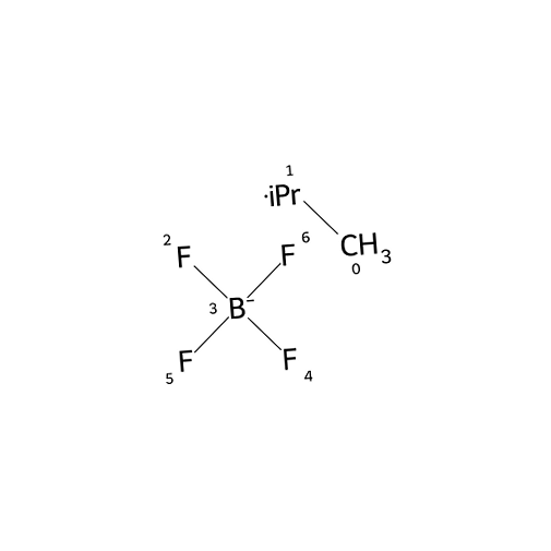 C[C](C)C.F[B-](F)(F)F